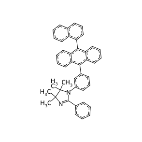 CC1(C)N=C(c2ccccc2)N(c2cccc(-c3c4ccccc4c(-c4cccc5ccccc45)c4ccccc34)c2)C1(C)C